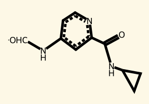 O=[C]Nc1ccnc(C(=O)NC2CC2)c1